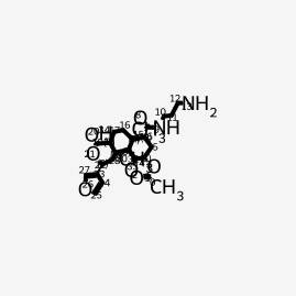 CC(=O)O[C@H]1C[C@@H](C(=O)NCCCN)[C@]2(C)CC[C@H]3C(=O)O[C@H](c4ccoc4)C[C@]3(C)C2C1=O